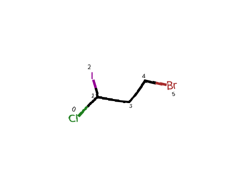 ClC(I)CCBr